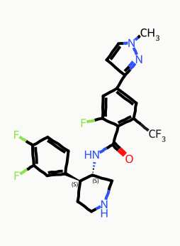 Cn1ccc(-c2cc(F)c(C(=O)N[C@@H]3CNCC[C@H]3c3ccc(F)c(F)c3)c(C(F)(F)F)c2)n1